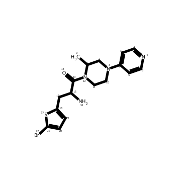 CC1CN(c2ccncc2)CCN1C(=O)C(N)Cc1ccc(Br)s1